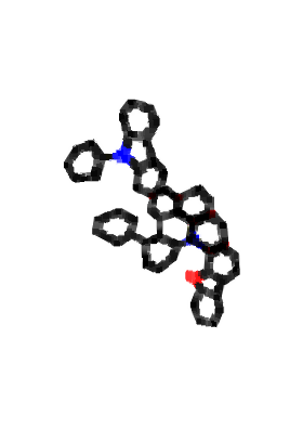 c1ccc(-c2ccccc2-c2c(-c3ccccc3)cccc2N(c2cccc(-c3ccc4c(c3)c3ccccc3n4-c3ccccc3)c2)c2cccc3c2oc2ccccc23)cc1